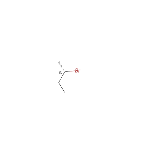 CC[C@H](C)Br